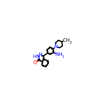 CC1CCN(c2ccc(-c3n[nH]c(=O)c4ccccc34)cc2N)CC1